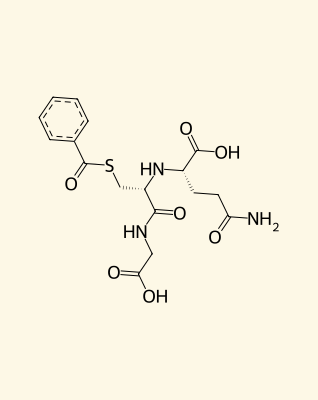 NC(=O)CC[C@H](N[C@@H](CSC(=O)c1ccccc1)C(=O)NCC(=O)O)C(=O)O